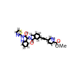 COC(=O)c1ccc(C#Cc2ccc3c(c2)C(=O)N(C(C(=O)Nc2nccs2)c2ccccc2)C3)cn1